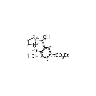 CCOC(=O)c1ccc(ON2CCC[C@H]2CO)cc1.Cl